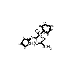 CC(C)OP(=O)(CN=C1CC=CS1)c1ccccc1